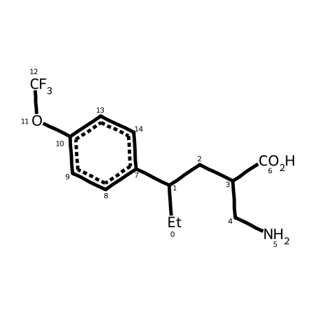 CCC(CC(CN)C(=O)O)c1ccc(OC(F)(F)F)cc1